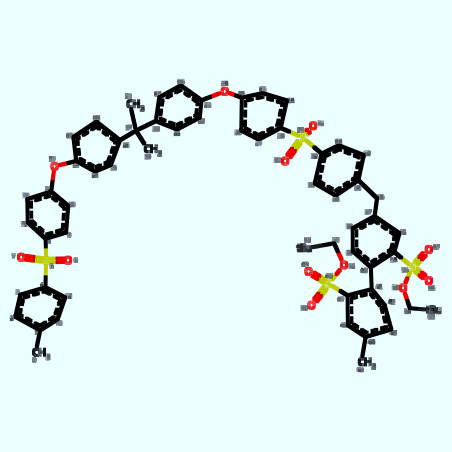 Cc1ccc(S(=O)(=O)c2ccc(Oc3ccc(C(C)(C)c4ccc(Oc5ccc(S(=O)(=O)c6ccc(Cc7ccc(-c8ccc(C)cc8S(=O)(=O)OCC(C)(C)C)c(S(=O)(=O)OCC(C)(C)C)c7)cc6)cc5)cc4)cc3)cc2)cc1